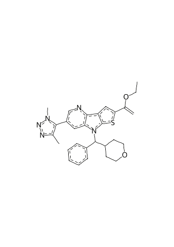 C=C(OCC)c1cc2c3ncc(-c4c(C)nnn4C)cc3n(C(c3ccccc3)C3CCOCC3)c2s1